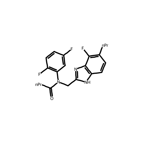 CCCC(=O)N(Cc1nc2c(F)c(CCC)ccc2[nH]1)c1cc(F)ccc1F